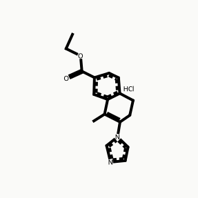 CCOC(=O)c1ccc2c(c1)C(C)=C(n1ccnc1)CC2.Cl